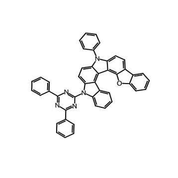 c1ccc(-c2nc(-c3ccccc3)nc(-n3c4ccccc4c4c5c6c7oc8ccccc8c7ccc6n(-c6ccccc6)c5ccc43)n2)cc1